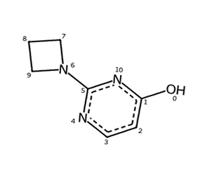 Oc1ccnc(N2CCC2)n1